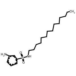 CCCCCCCCCCCCCCNS(=O)(=O)c1cccc(N)c1